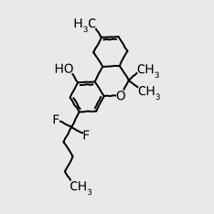 CCCCC(F)(F)c1cc(O)c2c(c1)OC(C)(C)C1CC=C(C)CC21